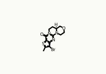 Cc1sc2c(=O)n3c(nc2c1Br)N1CCOC[C@@H]1CC3